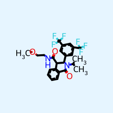 COCCNC(=O)C1c2ccccc2C(=O)N(C(C)C)C1c1cc(C(F)(F)F)cc(C(F)(F)F)c1